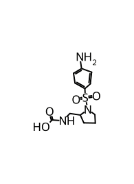 Nc1ccc(S(=O)(=O)N2CCCC2CNC(=O)O)cc1